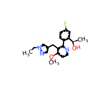 CCn1cc(Cc2c(OC)ccnc2-c2ccc(F)cc2[C@@H](C)O)cn1